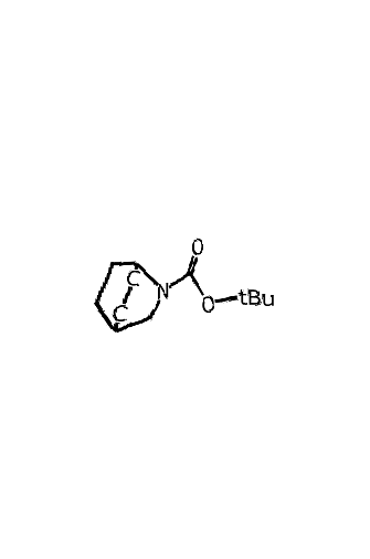 CC(C)(C)OC(=O)N1CC2CCC1CC2